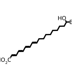 CCC(O)CCCCCCCC/C=C/C=C/C=C/C=C/C(=O)O